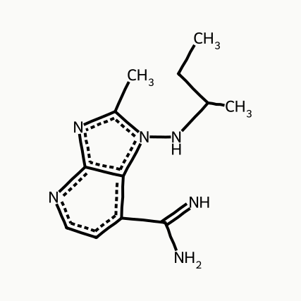 CCC(C)Nn1c(C)nc2nccc(C(=N)N)c21